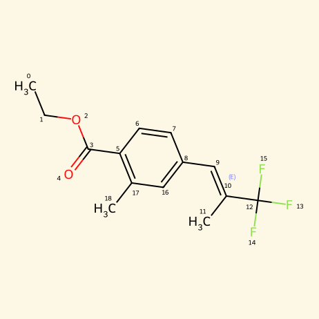 CCOC(=O)c1ccc(/C=C(\C)C(F)(F)F)cc1C